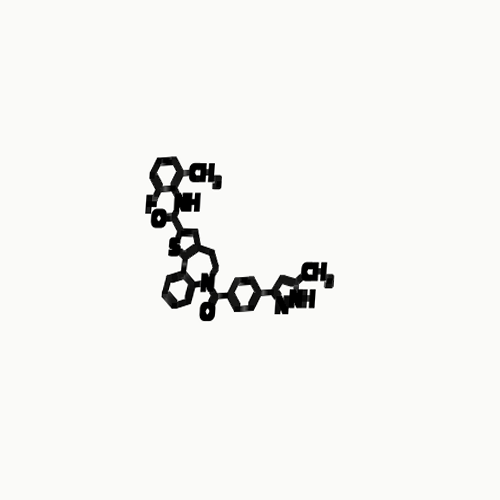 Cc1cc(-c2ccc(C(=O)N3CCc4cc(C(=O)Nc5c(C)cccc5F)sc4-c4ccccc43)cc2)n[nH]1